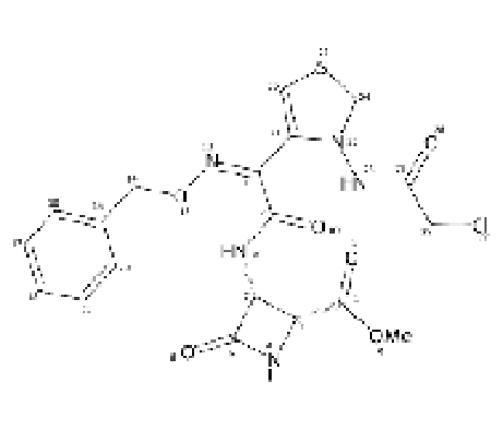 COC(=O)[C@@H]1NC(=O)[C@@H]1NC(=O)C(=NOCc1ccccc1)C1=CSCN1NC(=O)CCl